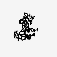 Cc1cc(C(F)F)nc(C2(NC(=O)C3CC(O)CN3C(=O)[C@@H](n3cc(C4CC4)nn3)C(C)(C)C)CCCC2)n1